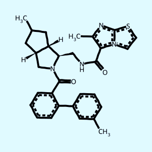 Cc1cccc(-c2ccccc2C(=O)N2C[C@@H]3CC(C)C[C@@H]3[C@H]2CNC(=O)c2c(C)nc3sccn23)c1